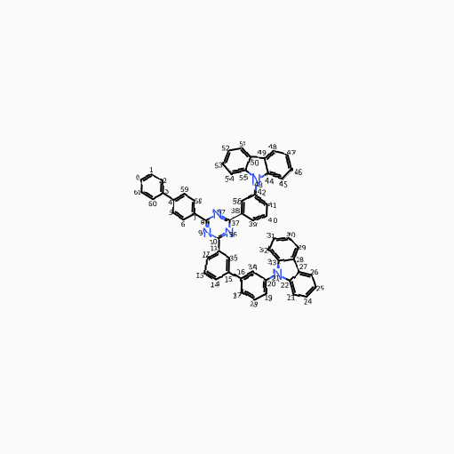 c1ccc(-c2ccc(-c3nc(-c4cccc(-c5cccc(-n6c7ccccc7c7ccccc76)c5)c4)nc(-c4cccc(-n5c6ccccc6c6ccccc65)c4)n3)cc2)cc1